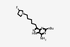 CCCCc1nc(N)c2[nH]nc(CCCCCN3CC[C@@H](F)C3)c2n1